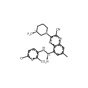 Cc1cc([C@@H](C)Nc2ccc(Cl)nc2C(=O)O)c2nc(N3CCC[C@H](C(F)(F)F)C3)c(C#N)nc2c1